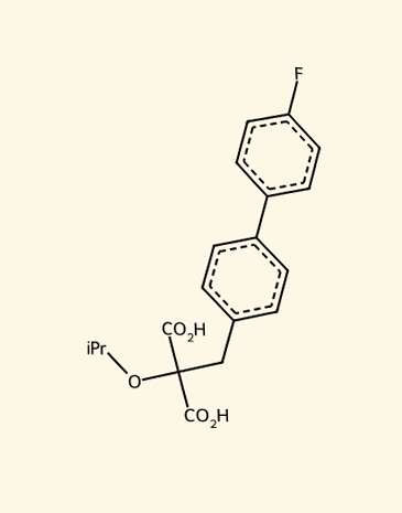 CC(C)OC(Cc1ccc(-c2ccc(F)cc2)cc1)(C(=O)O)C(=O)O